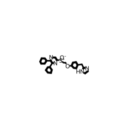 [O-][S+](CCOc1ccc(Cc2ncc[nH]2)cc1)c1cnc(-c2ccccc2)c(-c2ccccc2)n1